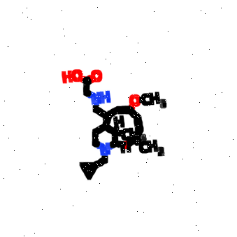 C=C1/C=C\C(OC)=C/C[C@@]2(CCNCC(=O)O)CCN(CC3CC3)[C@@H](C1)[C@H]2C